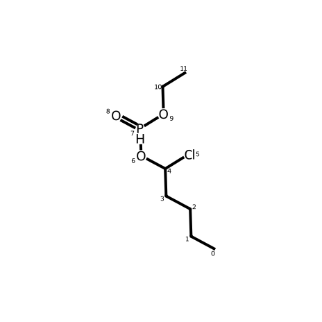 CCCCC(Cl)O[PH](=O)OCC